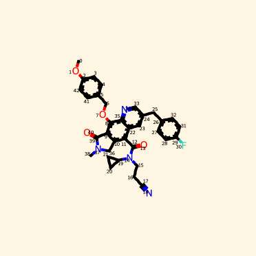 COc1ccc(COc2c3c(c(C(=O)N(CCC#N)C4CC4)c4cc(Cc5ccc(F)cc5)cnc24)CN(C)C3=O)cc1